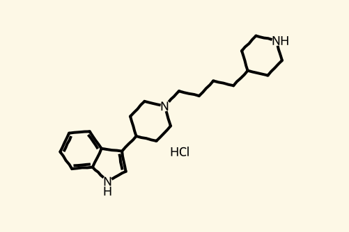 Cl.c1ccc2c(C3CCN(CCCCC4CCNCC4)CC3)c[nH]c2c1